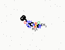 Cc1nn(C)c(Cl)c1S(=O)(=O)N1CCc2c(ncnc2NC(=O)CC23CC4CC(CC(C4)C2)C3)C1